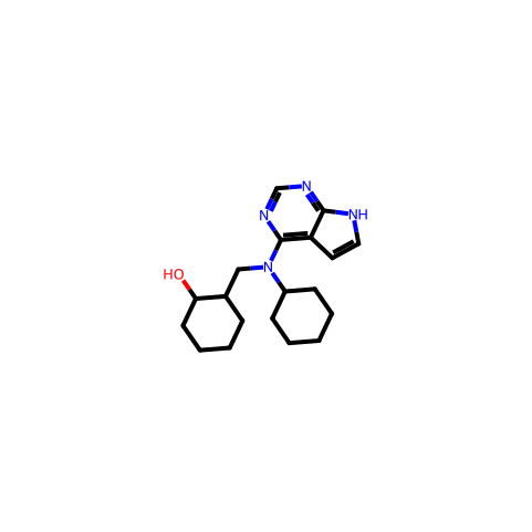 OC1CCCCC1CN(c1ncnc2[nH]ccc12)C1CCCCC1